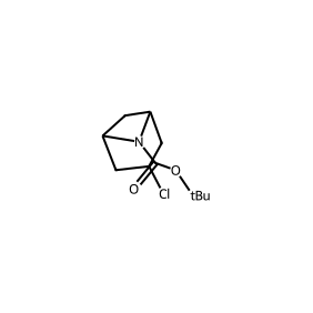 CC(C)(C)OC(=O)N1C2CC(Cl)CC1C2